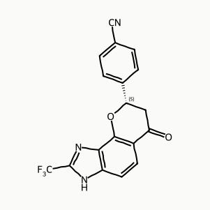 N#Cc1ccc([C@@H]2CC(=O)c3ccc4[nH]c(C(F)(F)F)nc4c3O2)cc1